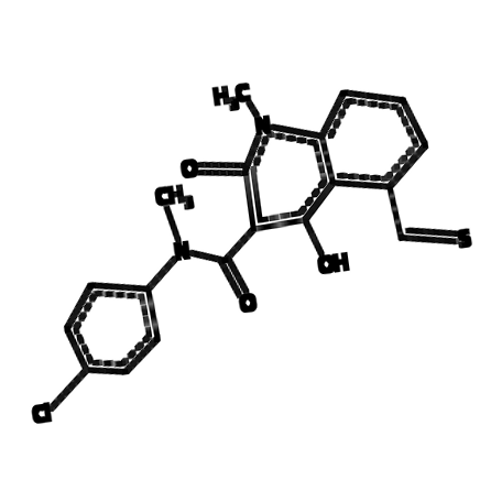 CN(C(=O)c1c(O)c2c(C=S)cccc2n(C)c1=O)c1ccc(Cl)cc1